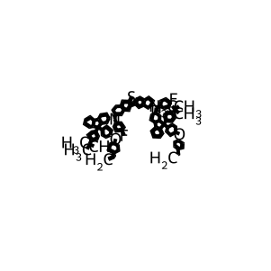 C=CC1=CCC(OC2CCC(C3(c4ccc(C(C)(C)C)cc4)c4ccccc4C4C=CC(N(C5C=CC(F)=CC5)C5C=Cc6cc7sc8cc9c(cc8c7cc6C5)C=C(N(c5ccc(F)cc5)C5C=CC6=C(C5)C(C5=CCC(OC7CC=C(C=C)CC7)C=C5)(c5ccc(C(C)(C)C)cc5)C5C=CC=CC65)CC9)CC43)CC2)C=C1